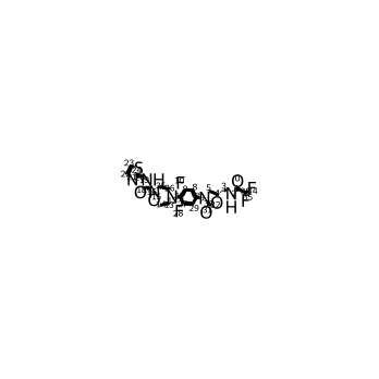 O=C(NC[C@H]1CN(c2cc(F)c(N3CCON(C(=O)Nc4nccs4)CC3)c(F)c2)C(=O)O1)C(F)F